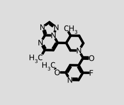 COc1cc(C(=O)N2CCC(C)C(c3cc(C)nc4ncnn34)C2)c(F)cn1